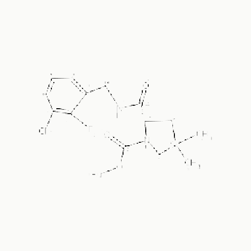 CC(C)(C)OC(=O)N1C[Si](C)(C)C[C@H]1C(=O)NCc1cccc(Cl)c1F